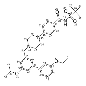 CCOc1cncc(-c2cc(CN3CCN(c4ccc(C(=O)NS(=O)(=O)C(C)(C)C)cc4)CC3)cc(OC(C)C)c2)c1